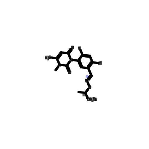 CCOC(=O)[C@@H](C)O/N=C/c1cc(-n2c(=O)cc(C(F)(F)F)n(C)c2=O)c(F)cc1Cl